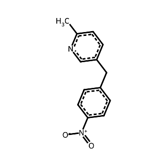 Cc1ccc(Cc2ccc([N+](=O)[O-])cc2)cn1